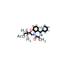 CC(=O)OCC(C)(C)C(=O)CN1C(=O)[C@H](C)N=C(c2ccccn2)c2ccccc21